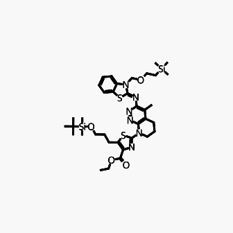 CCOC(=O)c1nc(N2CCCc3c2nnc(/N=c2\sc4ccccc4n2COCC[Si](C)(C)C)c3C)sc1CCCO[Si](C)(C)C(C)(C)C